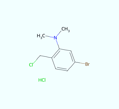 CN(C)c1cc(Br)ccc1CCl.Cl